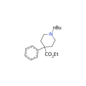 CCCCN1CCC(C(=O)OCC)(c2ccccc2)CC1